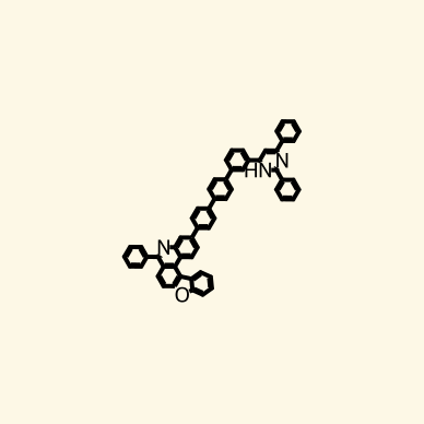 C1=C(c2ccccc2)N=C(c2ccccc2)NC1c1cccc(-c2ccc(-c3ccc(-c4ccc5c(c4)nc(-c4ccccc4)c4ccc6oc7ccccc7c6c45)cc3)cc2)c1